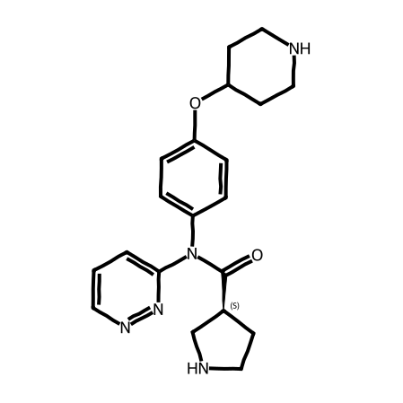 O=C([C@H]1CCNC1)N(c1ccc(OC2CCNCC2)cc1)c1cccnn1